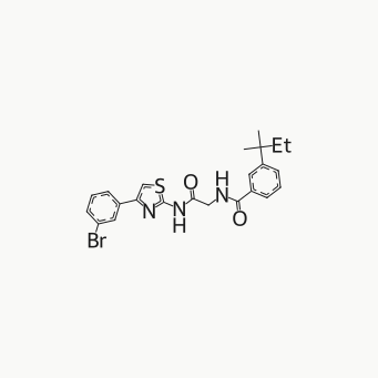 CCC(C)(C)c1cccc(C(=O)NCC(=O)Nc2nc(-c3cccc(Br)c3)cs2)c1